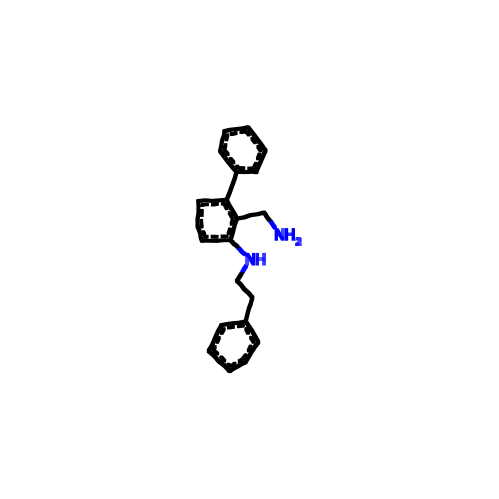 NCc1c(NCCc2ccccc2)cccc1-c1ccccc1